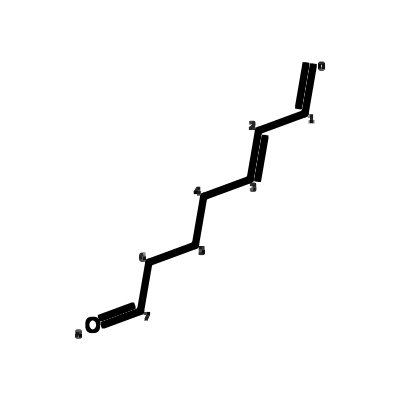 C=CC=CCCCC=O